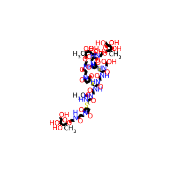 CC(=O)N[C@@H](CSC1CC(=O)N(CCC(=O)NCCOC2OC(CO)C(O)C(O)C2C)C1=O)C(=O)NCC(=O)N[C@@H](CSC1CC(=O)N(CCC(=O)NCCOC2OC(CO)C(O)C(O)C2C)C1=O)C(=O)NCC(=O)N[C@@H](CSC1CC(=O)N(CCC(=O)NCCOC2OC(CO)C(O)C(O)C2C)C1=O)C(=O)NCC(=O)O